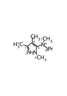 Cc1nn(C)c(N(C)C(C)C)c1C